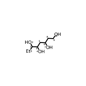 CCC(O)C(O)CC(O)CCO